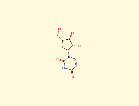 O=C1NC(=O)N([C@@H]2O[C@H](CO)[C@@H](O)[C@@H]2O)C=I1